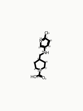 O=C(O)N1CCC(CNc2ccc(Cl)nc2)CC1